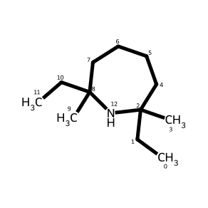 CCC1(C)CCCCC(C)(CC)N1